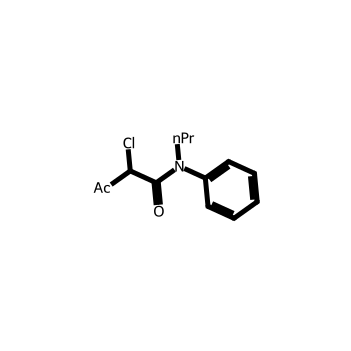 CCCN(C(=O)C(Cl)C(C)=O)c1ccccc1